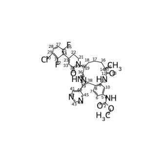 COC(=O)Nc1ccc2c(c1)NC(=O)[C@H](C)CCC[C@H](N1CCC(c3c(F)ccc(Cl)c3F)=CC1=O)c1nc-2c(-c2cncnc2)[nH]1